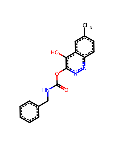 Cc1ccc2nnc(OC(=O)NCc3ccccc3)c(O)c2c1